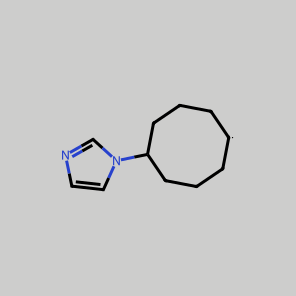 [CH]1CCCC(n2ccnc2)CCC1